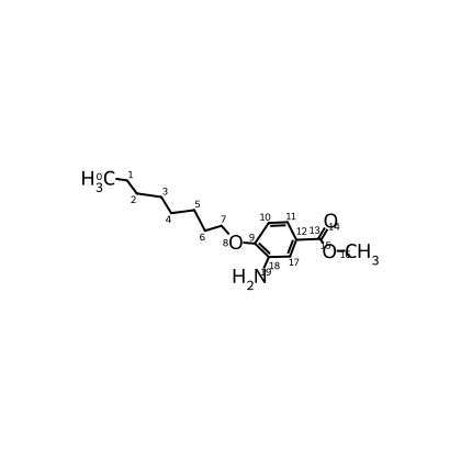 CCCCCCCCOc1ccc(C(=O)OC)cc1N